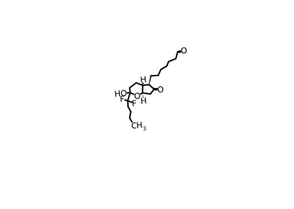 CCCCC(F)(F)C1(O)CC[C@H]2[C@@H](CC(=O)[C@@H]2CCCCCCC=O)O1